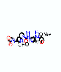 CO[C@H]1CCOCC1Nc1cc(NC(=O)N2CCCc3cc(CN4CCOCC4=O)c(C=O)nc32)ncc1C#N